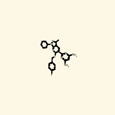 Cc1nn(-c2ccccc2)c2nc(OCc3ccc(F)cc3)c(-c3nc(N)cc(N)n3)cc12